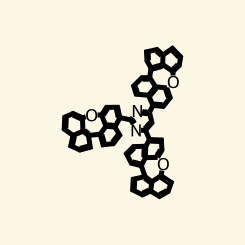 c1cc2cccc3c4cccc5c(-c6cc(-c7ccc8oc9cccc%10cccc(c%11cccc7c8%11)c%109)nc(-c7ccc8oc9cccc%10cccc(c%11cccc7c8%11)c%109)n6)ccc(oc(c1)c23)c54